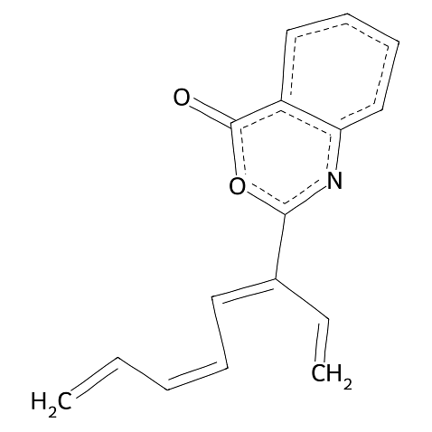 C=C/C=C\C=C(/C=C)c1nc2ccccc2c(=O)o1